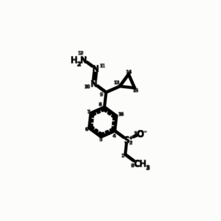 CC[S+]([O-])c1cccc(C(N=NN)C2CC2)c1